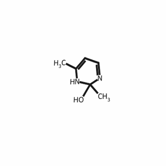 CC1=CC=NC(C)(O)N1